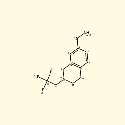 NSc1ccc2c(c1)CN(CC(F)(F)F)CC2